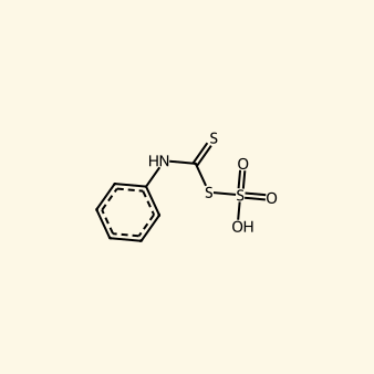 O=S(=O)(O)SC(=S)Nc1ccccc1